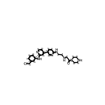 O=C(CNCCNc1ccc(-c2ccnc(Nc3cccc(CCl)c3)c2)cn1)N1CCNCC1